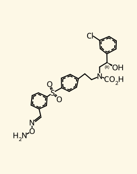 NON=Cc1cccc(S(=O)(=O)c2ccc(CCN(C[C@H](O)c3cccc(Cl)c3)C(=O)O)cc2)c1